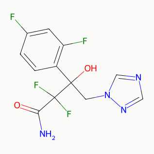 NC(=O)C(F)(F)C(O)(Cn1cncn1)c1ccc(F)cc1F